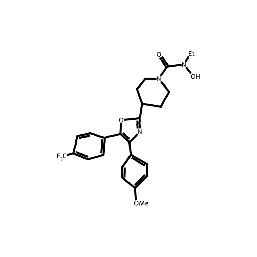 CCN(O)C(=O)N1CCC(c2nc(-c3ccc(OC)cc3)c(-c3ccc(C(F)(F)F)cc3)o2)CC1